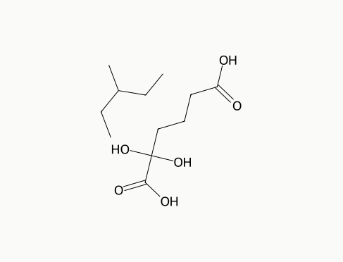 CCC(C)CC.O=C(O)CCCC(O)(O)C(=O)O